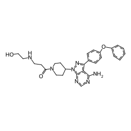 Nc1ncnc2c1c(-c1ccc(Oc3ccccc3)cc1)nn2C1CCN(C(=O)CCNCCO)CC1